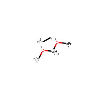 CCCC.CCCO[SiH2]OCCC